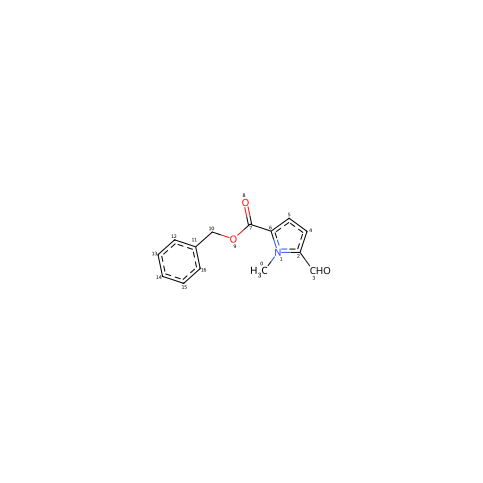 Cn1c(C=O)ccc1C(=O)OCc1ccccc1